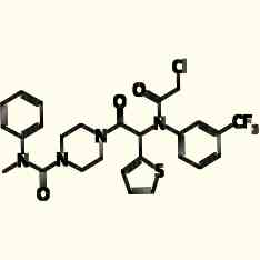 CN(C(=O)N1CCN(C(=O)C(c2cccs2)N(C(=O)CCl)c2cccc(C(F)(F)F)c2)CC1)c1ccccc1